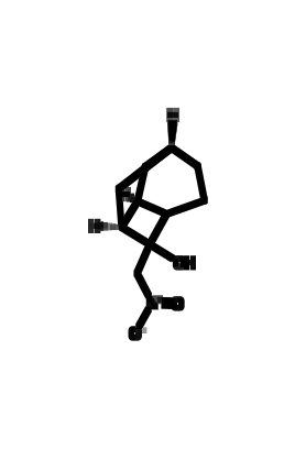 O=[N+]([O-])CC1(O)C2CC[C@H]3C[C@@H]2[C@@H]1C3